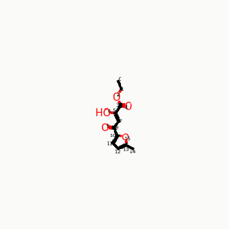 CCOC(=O)C(O)=CC(=O)c1ccc(C)o1